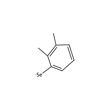 Cc1cccc([Se])c1C